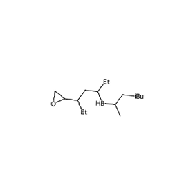 CCC(C)CC(C)BC(CC)CC(CC)C1CO1